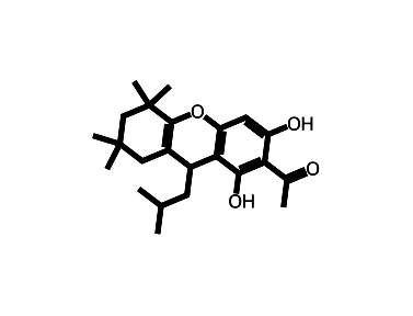 CC(=O)c1c(O)cc2c(c1O)C(CC(C)C)C1=C(O2)C(C)(C)CC(C)(C)C1